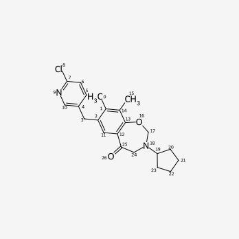 Cc1c(Cc2ccc(Cl)nc2)cc2c(c1C)OCN(C1CCCC1)CC2=O